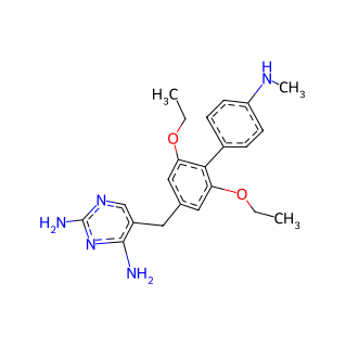 CCOc1cc(Cc2cnc(N)nc2N)cc(OCC)c1-c1ccc(NC)cc1